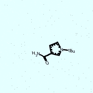 CC(C)(C)n1ccc(C(N)=O)c1